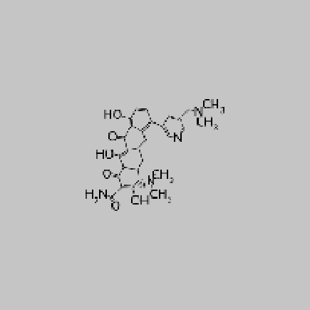 CN(C)Cc1cncc(-c2ccc(O)c3c2CC2CC4C(C(=O)C(C(N)=O)=C(O)[C@H]4N(C)C)C(O)=C2C3=O)c1